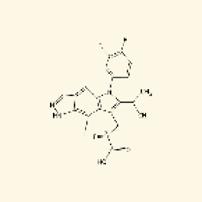 CC(C)c1c(C[C@H](F)C(=O)O)c2c(F)c3[nH]ncc3cc2n1-c1ccc(F)c(F)c1